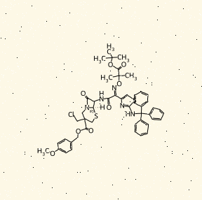 COc1ccc(COC(=O)C2(CCl)CS[C@@H]3C(NC(=O)C(=NOC(C)(C)C(=O)OC(C)(C)C)c4csc(NC(c5ccccc5)(c5ccccc5)c5ccccc5)n4)C(=O)N3C2)cc1